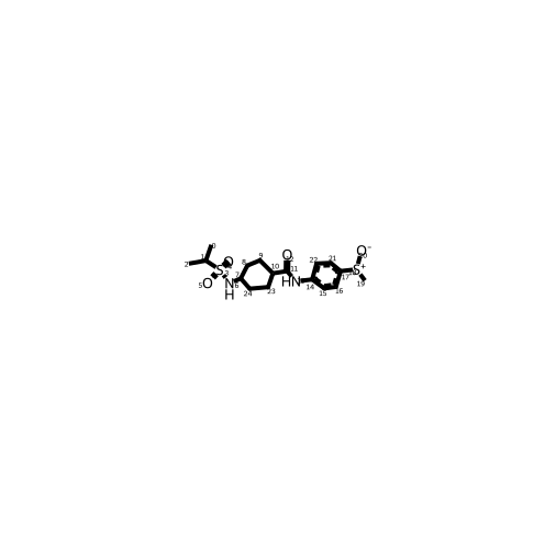 CC(C)S(=O)(=O)NC1CCC(C(=O)Nc2ccc([S+](C)[O-])cc2)CC1